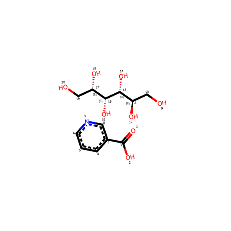 O=C(O)c1cccnc1.OC[C@@H](O)[C@@H](O)[C@H](O)[C@@H](O)CO